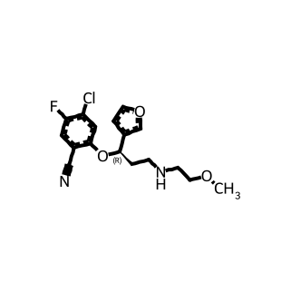 COCCNCC[C@@H](Oc1cc(Cl)c(F)cc1C#N)c1ccoc1